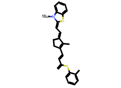 C=C(/C=C/C1=C(C)C(=C/C=C2\Sc3ccccc3N2C(C)(C)C)/CC1)Sc1ccccc1C